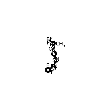 Cc1cc(C(F)(F)F)nn1CC(=O)N1CCC(c2ncc(C3=NOC(c4c(F)cccc4F)C3)s2)CC1